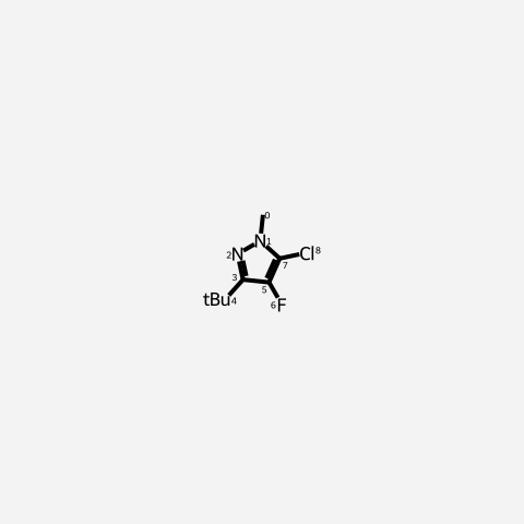 Cn1nc(C(C)(C)C)c(F)c1Cl